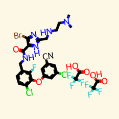 CN(C)CCNCc1nc(Br)c(C(=O)NCc2ccc(Cl)c(Oc3cc(Cl)cc(C#N)c3)c2F)[nH]1.O=C(O)C(F)(F)F.O=C(O)C(F)(F)F